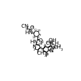 Cc1cnc(NC(=O)C2CCC[C@@H](NC(=O)CC#N)C2)cc1-c1cc(F)c2nn(C)c(C(C)(O)C(F)(F)F)c2c1